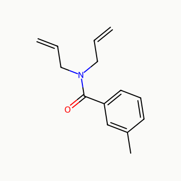 C=CCN(CC=C)C(=O)c1cccc(C)c1